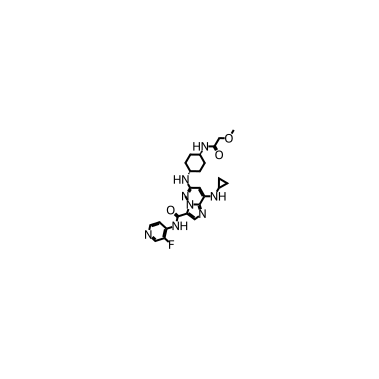 COCC(=O)N[C@H]1CC[C@H](Nc2cc(NC3CC3)c3ncc(C(=O)Nc4ccncc4F)n3n2)CC1